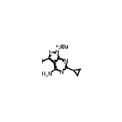 CC[C@@H](C)n1nc(I)c2c(N)nc(C3CC3)nc21